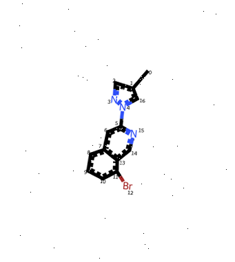 Cc1cnn(-c2cc3cccc(Br)c3cn2)c1